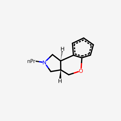 CCCN1C[C@H]2COc3ccccc3[C@@H]2C1